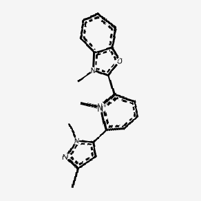 Cc1cc(-c2cccc(-c3oc4ccccc4[n+]3C)[n+]2C)n(C)n1